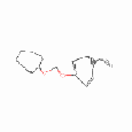 CCC(C)c1ccc(OCOC2CCCCC2)cc1